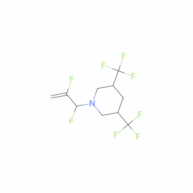 C=C(F)C(F)N1CC(C(F)(F)F)CC(C(F)(F)F)C1